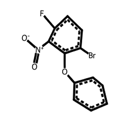 O=[N+]([O-])c1c(F)ccc(Br)c1Oc1ccccc1